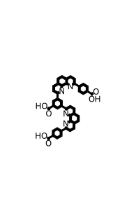 O=C(O)c1ccc(-c2ccc3ccc4ccc(-c5cc(C(=O)O)cc(-c6ccc7ccc8ccc(-c9ccc(C(=O)O)cc9)nc8c7n6)c5)nc4c3n2)cc1